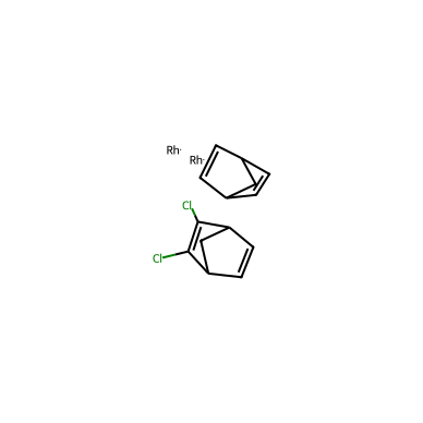 C1=CC2C=CC1C2.ClC1=C(Cl)C2C=CC1C2.[Rh].[Rh]